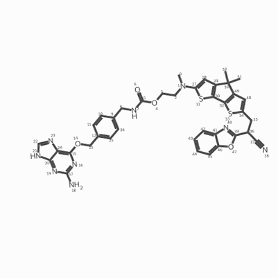 CN(CCOC(=O)NCc1ccc(COc2nc(N)nc3[nH]cnc23)cc1)c1cc2c(s1)-c1sc(CC(C#N)c3nc4ccccc4o3)cc1C2(C)C